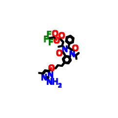 Cc1cc(OCCCc2ccc3c(c2)C(=O)N(C(C)CC(=O)OC(=O)C(F)(F)F)C(c2ccccc2)C(=O)N3C(C)C)nc(N)n1